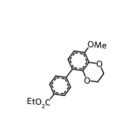 CCOC(=O)c1ccc(-c2ccc(OC)c3c2OCCO3)cc1